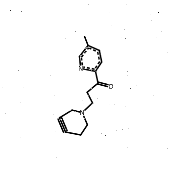 Cc1ccc(C(=O)CCN2CC#CCC2)nc1